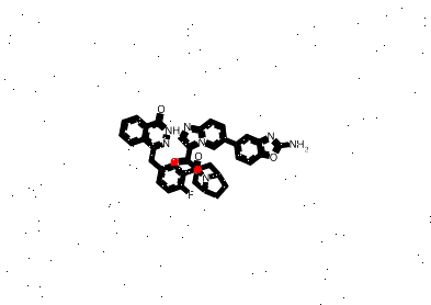 Nc1nc2cc(-c3ccc4ncc(C(=O)N5CC6CCC(C5)N6C(=O)c5cc(Cc6n[nH]c(=O)c7ccccc67)ccc5F)n4c3)ccc2o1